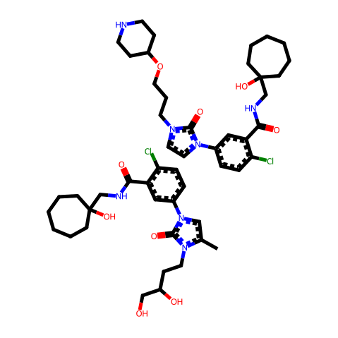 Cc1cn(-c2ccc(Cl)c(C(=O)NCC3(O)CCCCCC3)c2)c(=O)n1CCC(O)CO.O=C(NCC1(O)CCCCCC1)c1cc(-n2ccn(CCCOC3CCNCC3)c2=O)ccc1Cl